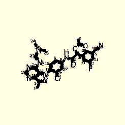 CC(=O)OC(C(=O)Nc1ccc(-n2nc(C)c3ncnc(/N=C/N(C)C)c32)c(Cl)c1)c1cc(F)cc(C#N)c1